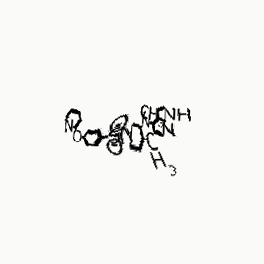 C[C@@H]1CCN(S(=O)(=O)c2ccc(Oc3ccccn3)cc2)C[C@@H]1N(C)c1ccnc2[nH]ccc12